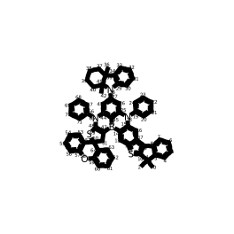 CC1(C)c2ccccc2-c2c1sc1cc3c(cc21)N(c1ccccc1)c1cc(N2c4ccccc4C4(C)CCCCC24C)cc2c1B3C1=C(SC3(C1)c1ccccc1Oc1ccccc13)N2c1ccccc1